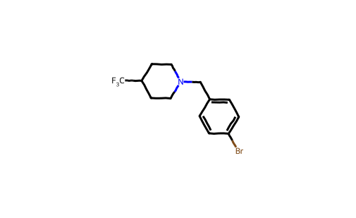 FC(F)(F)C1CCN(Cc2ccc(Br)cc2)CC1